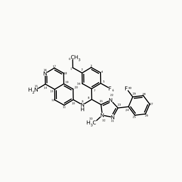 CCc1ccc(F)c(C(Nc2ccc3c(N)nccc3c2)c2nc(-c3ccccc3F)nn2C)c1